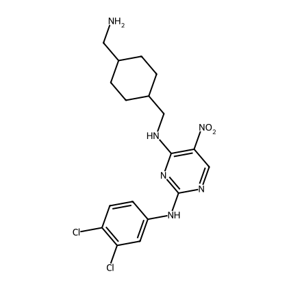 NCC1CCC(CNc2nc(Nc3ccc(Cl)c(Cl)c3)ncc2[N+](=O)[O-])CC1